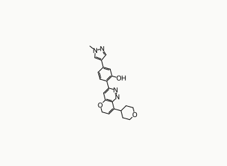 Cn1cc(-c2ccc(-c3cc4c(nn3)C(C3CCOCC3)=CCO4)c(O)c2)cn1